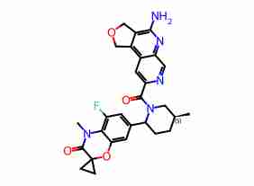 C[C@H]1CCC(c2cc(F)c3c(c2)OC2(CC2)C(=O)N3C)N(C(=O)c2cc3c4c(c(N)nc3cn2)COC4)C1